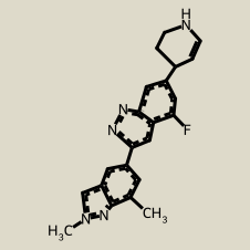 Cc1cc(-c2cc3c(F)cc(C4C=CNCC4)cc3nn2)cc2cn(C)nc12